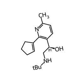 Cc1ccc([C@@H](O)CNC(C)(C)C)c(C2=CCCC2)n1